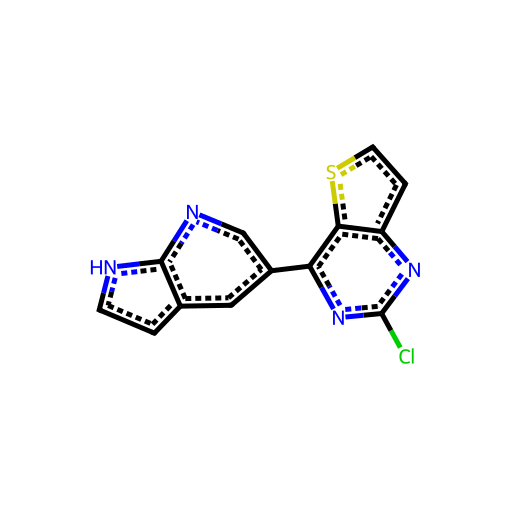 Clc1nc(-c2cnc3[nH]ccc3c2)c2sccc2n1